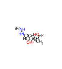 CC(C)NCCNC1CC[C@]2(C)C3CC[C@@]4(C)C(CCC4[C@H](C)CC[C@@H](O)C(C)C)C3[C@H](O)C[C@H]2C1